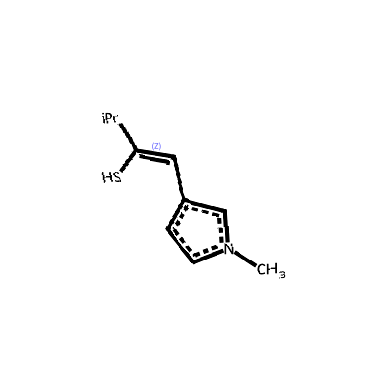 CC(C)/C(S)=C/c1ccn(C)c1